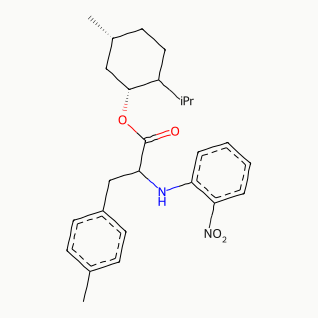 Cc1ccc(CC(Nc2ccccc2[N+](=O)[O-])C(=O)O[C@@H]2C[C@H](C)CCC2C(C)C)cc1